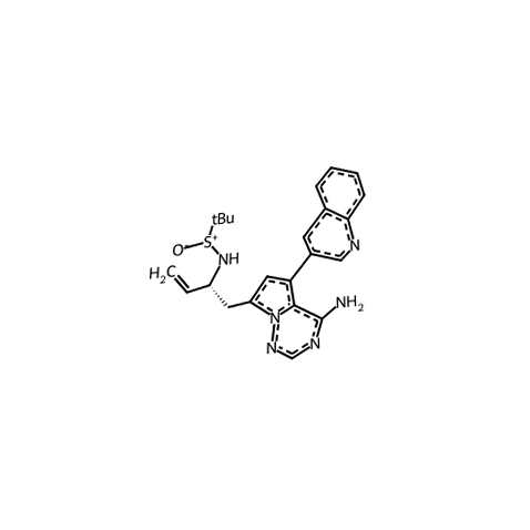 C=C[C@@H](Cc1cc(-c2cnc3ccccc3c2)c2c(N)ncnn12)N[S+]([O-])C(C)(C)C